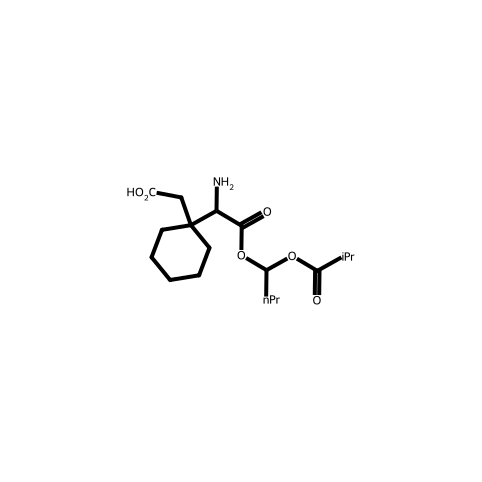 CCCC(OC(=O)C(C)C)OC(=O)C(N)C1(CC(=O)O)CCCCC1